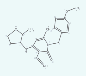 COc1ccc(Cn2c(C)cc(NC3CCOC3C)c(C=N)c2=O)cc1